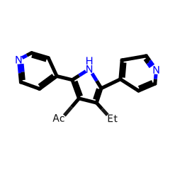 CCc1c(-c2ccncc2)[nH]c(-c2ccncc2)c1C(C)=O